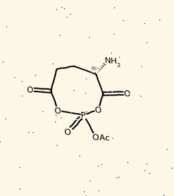 CC(=O)OP1(=O)OC(=O)CC[C@H](N)C(=O)O1